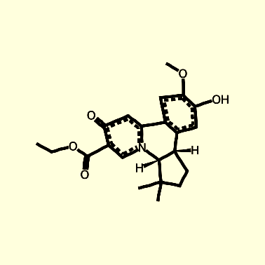 CCOC(=O)c1cn2c(cc1=O)-c1cc(OC)c(O)cc1[C@@H]1CCC(C)(C)[C@@H]12